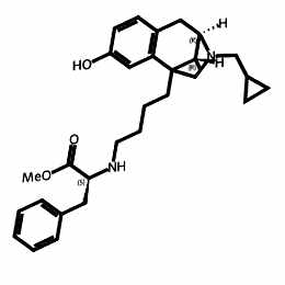 COC(=O)[C@H](Cc1ccccc1)NCCCCC12CN(CC3CC3)[C@H](Cc3ccc(O)cc31)[C@@H]2C